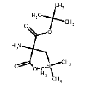 CC(C)(C)OC(=O)C(N)(C[Si](C)(C)C)C(=O)O